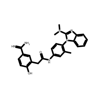 Cc1cc(NC(=O)Cc2cc(C(=N)N)ccc2O)ccc1-n1c(N(C)C)nc2ccccc21